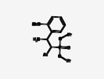 COc1ccccc1C(N)C(C(C)=O)P(=O)(OC(C)C)OC(C)C